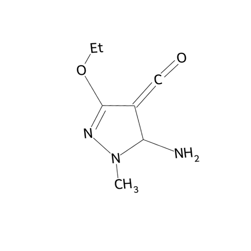 CCOC1=NN(C)C(N)C1=C=O